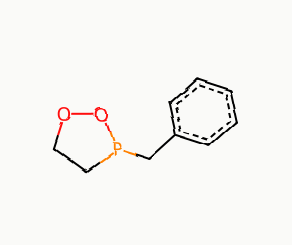 c1ccc(CP2CCOO2)cc1